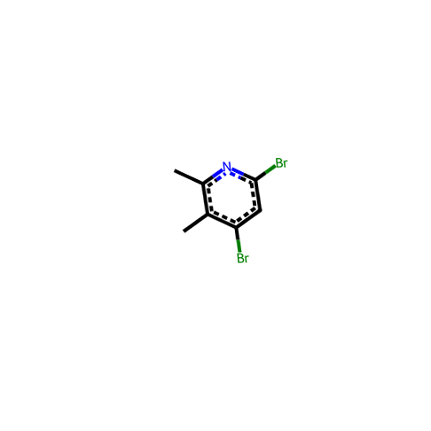 Cc1nc(Br)cc(Br)c1C